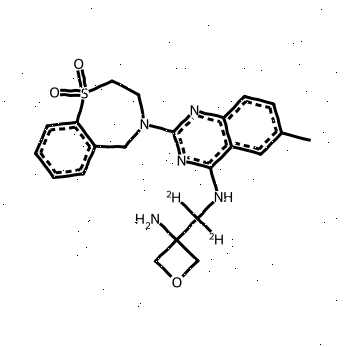 [2H]C([2H])(Nc1nc(N2CCS(=O)(=O)c3ccccc3C2)nc2ccc(C)cc12)C1(N)COC1